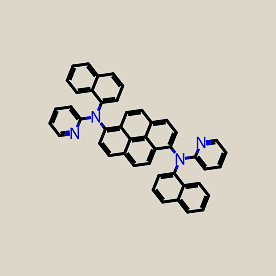 c1ccc(N(c2cccc3ccccc23)c2ccc3ccc4c(N(c5ccccn5)c5cccc6ccccc56)ccc5ccc2c3c54)nc1